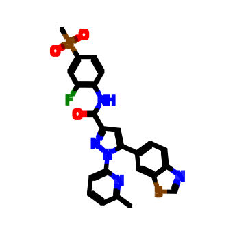 Cc1cccc(-n2nc(C(=O)Nc3ccc(S(C)(=O)=O)cc3F)cc2-c2ccc3ncsc3c2)n1